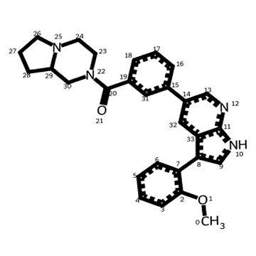 COc1ccccc1-c1c[nH]c2ncc(-c3cccc(C(=O)N4CCN5CCCC5C4)c3)cc12